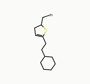 CC(C)CC1CC=C(CCC2CCCCC2)S1